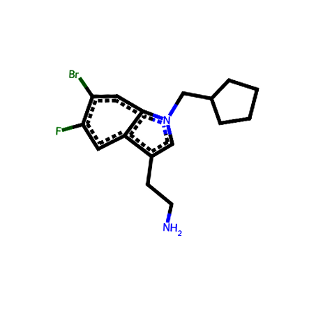 NCCc1cn(CC2CCCC2)c2cc(Br)c(F)cc12